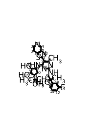 Cc1nc(NCC(C)(C)c2cccc(F)c2)nc(N[C@@H]2C[C@H](C(C)(C)O)[C@@H](O)[C@H]2O)c1-c1nc2cnccc2s1